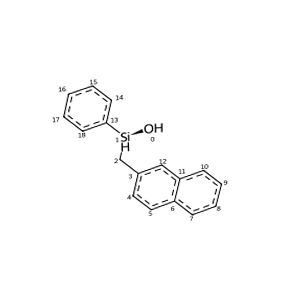 O[Si@@H](Cc1ccc2ccccc2c1)c1ccccc1